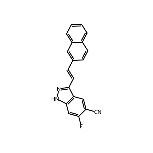 N#Cc1cc2c(/C=C/c3ccc4ccccc4c3)n[nH]c2cc1F